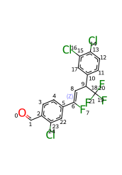 O=Cc1ccc(/C(F)=C/C(c2ccc(Cl)c(Cl)c2)C(F)(F)F)cc1Cl